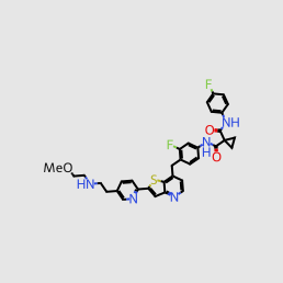 COCCNCCc1ccc(-c2cc3nccc(Cc4ccc(NC(=O)C5(C(=O)Nc6ccc(F)cc6)CC5)cc4F)c3s2)nc1